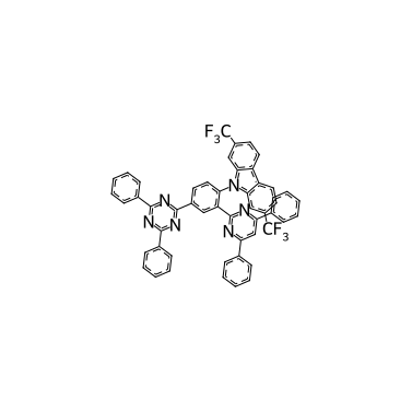 FC(F)(F)c1ccc2c3ccc(C(F)(F)F)cc3n(-c3ccc(-c4nc(-c5ccccc5)nc(-c5ccccc5)n4)cc3-c3nc(-c4ccccc4)cc(-c4ccccc4)n3)c2c1